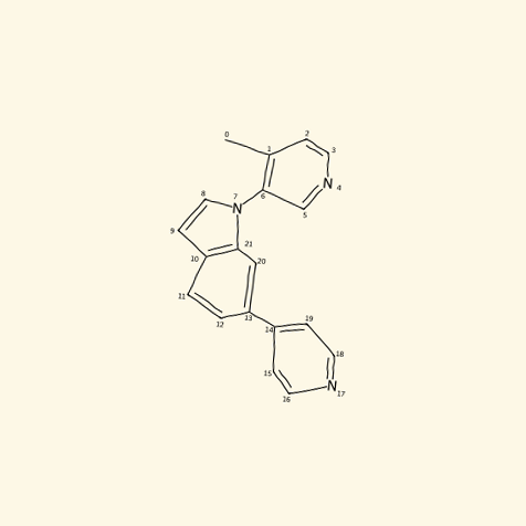 Cc1ccncc1-n1ccc2ccc(-c3ccncc3)cc21